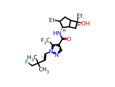 CCC1CC2C(C[C@]2(O)CC)[C@@H]1NC(=O)c1cnn(/C=C/C(C)(C)CF)c1C(F)(F)F